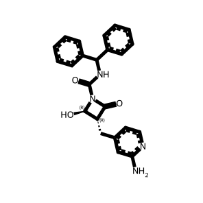 Nc1cc(C[C@H]2C(=O)N(C(=O)NC(c3ccccc3)c3ccccc3)[C@@H]2O)ccn1